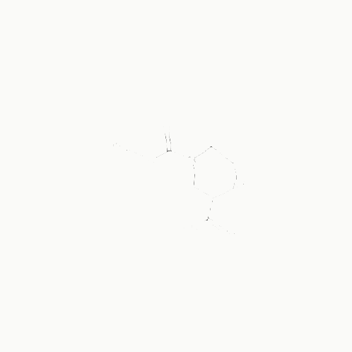 CC(C)(C)OC(=O)N1CCNC(C(=O)C=O)C1